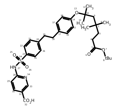 CC(C)(CCC(=O)OC(C)(C)C)CC(C)(C)Oc1ccc(CCc2ccc(S(=O)(=O)Nc3ccc(C(=O)O)cn3)cc2)cc1